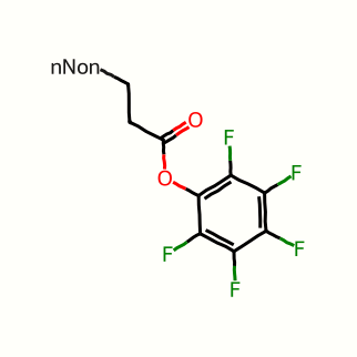 CCCCCCCCCCCC(=O)Oc1c(F)c(F)c(F)c(F)c1F